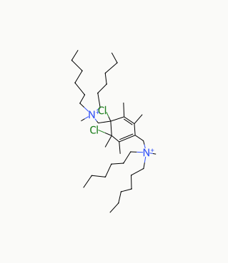 CCCCCC[N+](C)(CCCCCC)CC1=C(C)C(C)(Cl)C(Cl)(C[N+](C)(CCCCCC)CCCCCC)C(C)=C1C